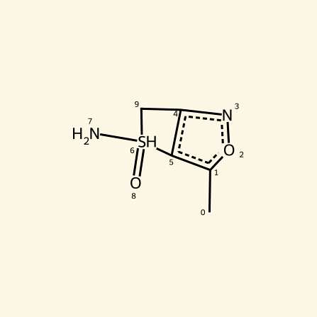 Cc1onc2c1[SH](N)(=O)C2